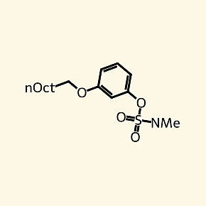 CCCCCCCCCOc1cccc(OS(=O)(=O)NC)c1